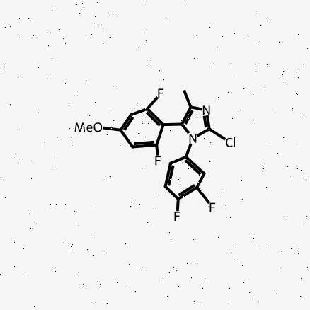 COc1cc(F)c(-c2c(C)nc(Cl)n2-c2ccc(F)c(F)c2)c(F)c1